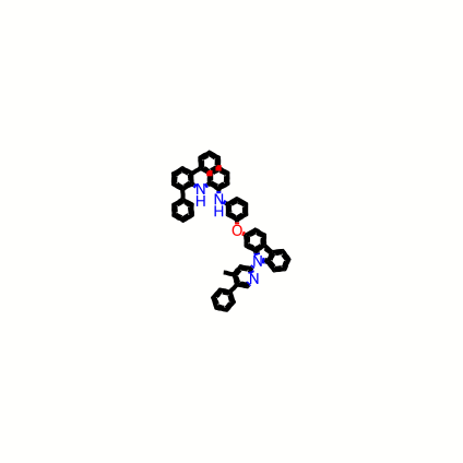 Cc1cc(-n2c3ccccc3c3ccc(Oc4cccc(Nc5ccccc5Nc5c(-c6ccccc6)cccc5-c5ccccc5)c4)cc32)ncc1-c1ccccc1